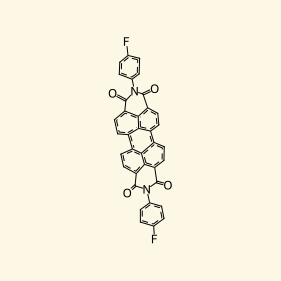 O=C1c2ccc3c4ccc5c6c(ccc(c7ccc(c2c37)C(=O)N1c1ccc(F)cc1)c64)C(=O)N(c1ccc(F)cc1)C5=O